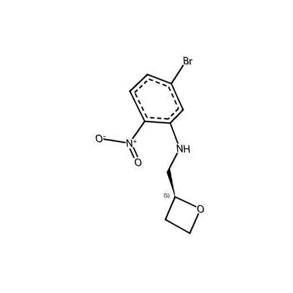 O=[N+]([O-])c1ccc(Br)cc1NC[C@@H]1CCO1